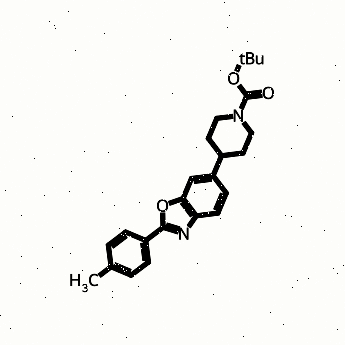 Cc1ccc(-c2nc3ccc(C4CCN(C(=O)OC(C)(C)C)CC4)cc3o2)cc1